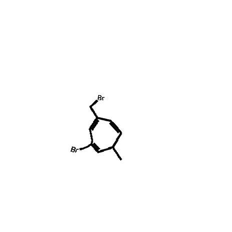 CC1C=CC(CBr)=CC(Br)=C1